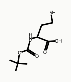 CC(C)(C)OC(=O)NC(CCS)C(=O)O